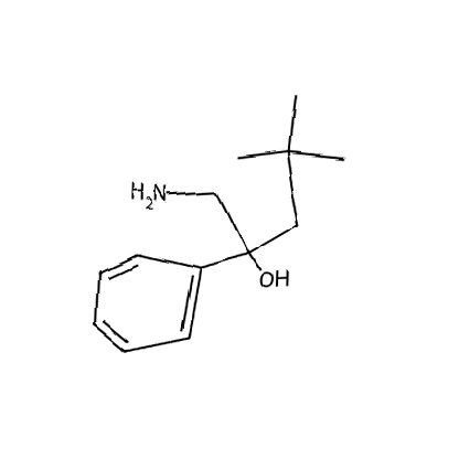 CC(C)(C)CC(O)(CN)c1ccccc1